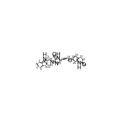 N[C@@H]1c2ccccc2CC12CCN(c1ncc(C#CCOc3ccc4c(c3)NC(=O)CC4)nc1CO)CC2